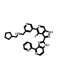 Fc1c(-c2cncc(CNCC3CCCC3)c2)ncc2[nH]nc(-c3nc4c(-c5ccccn5)nccc4[nH]3)c12